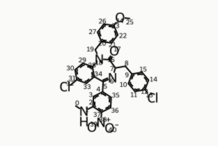 CNc1cc(C2=NC(Cc3ccc(Cl)cc3)C(=O)N(Cc3ccc(OC)cc3)c3ccc(Cl)cc32)ccc1[N+](=O)[O-]